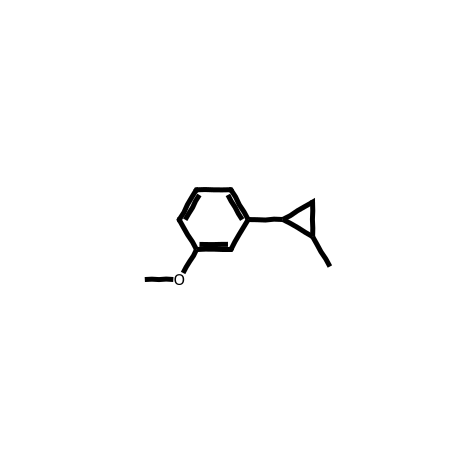 COc1cccc(C2CC2C)c1